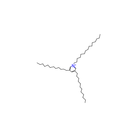 CCCCCCCCCCCCCCC[n+]1cc(CCCCCCCCCCCC)cc(CCCCCCCCCCCC)c1